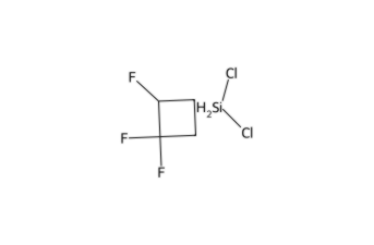 Cl[SiH2]Cl.FC1CCC1(F)F